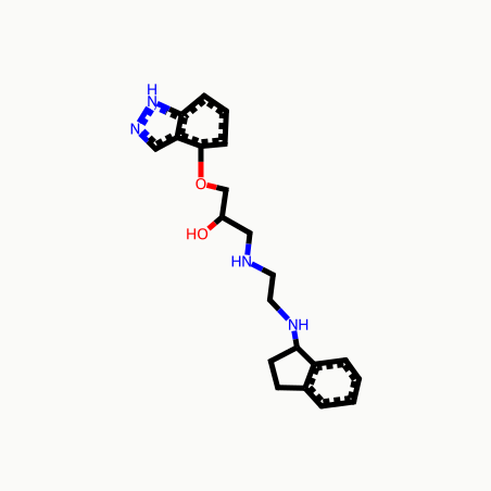 OC(CNCCNC1CCc2ccccc21)COc1cccc2[nH]ncc12